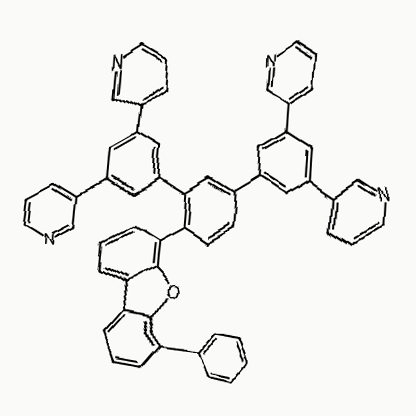 c1ccc(-c2cccc3c2oc2c(-c4ccc(-c5cc(-c6cccnc6)cc(-c6cccnc6)c5)cc4-c4cc(-c5cccnc5)cc(-c5cccnc5)c4)cccc23)cc1